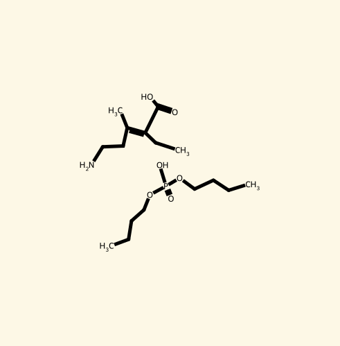 CCC(C(=O)O)=C(C)CCN.CCCCOP(=O)(O)OCCCC